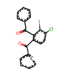 O=C(c1ccccc1)c1ccc(Cl)c(I)c1C(=O)c1ccccc1